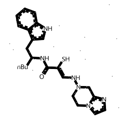 CCCCC(Cc1c[nH]c2ccccc12)NC(=O)/C(S)=C/NN1CCn2ccnc2C1